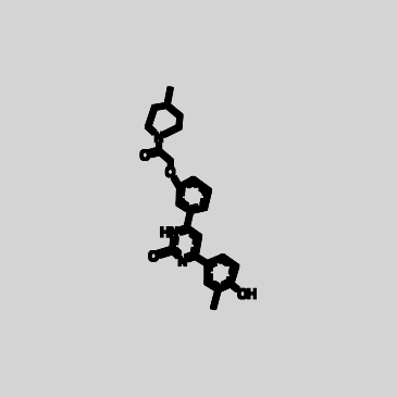 Cc1cc(-c2cc(-c3cccc(OCC(=O)N4CCC(C)CC4)c3)[nH]c(=O)n2)ccc1O